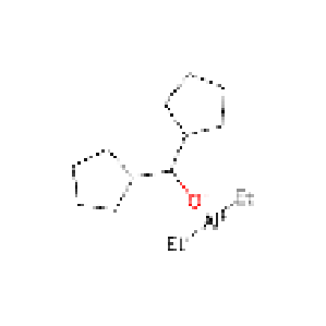 C[CH2][Al+][CH2]C.[O-]C(C1CCCC1)C1CCCC1